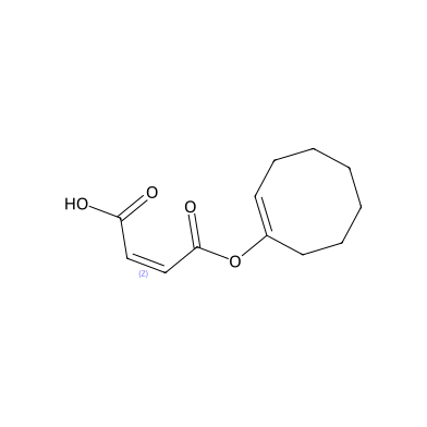 O=C(O)/C=C\C(=O)OC1=CCCCCCC1